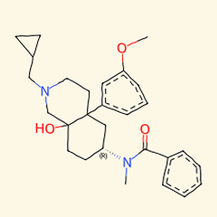 COc1cccc(C23CCN(CC4CC4)CC2(O)CC[C@@H](N(C)C(=O)c2ccccc2)C3)c1